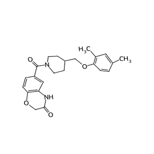 Cc1ccc(OCC2CCN(C(=O)c3ccc4c(c3)NC(=O)CO4)CC2)c(C)c1